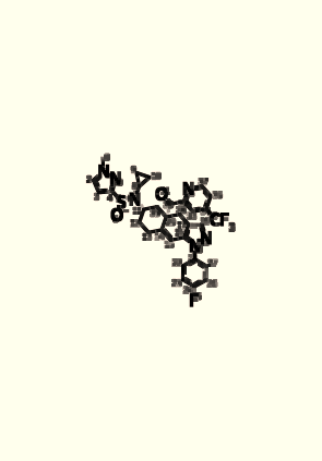 Cn1ccc([S+]([O-])N(C2CC2)[C@H]2CCC3=Cc4c(cnn4-c4ccc(F)cc4)C[C@]3(C(=O)c3cc(C(F)(F)F)ccn3)C2)n1